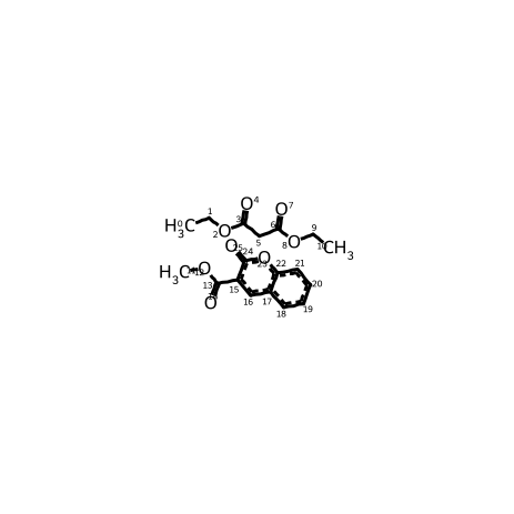 CCOC(=O)CC(=O)OCC.COC(=O)c1cc2ccccc2oc1=O